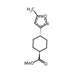 COC(=O)[C@H]1CC[C@H](c2cc(C)on2)CC1